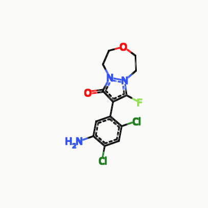 Nc1cc(-c2c(F)n3n(c2=O)CCOCC3)c(Cl)cc1Cl